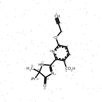 C#CCOc1ccc(C(=O)O)c(C2=NC(=O)C(C)(C(C)C)N2)n1